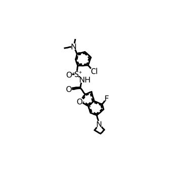 CN(C)c1ccc(Cl)c([S+]([O-])NC(=O)c2cc3c(F)cc(N4CCC4)cc3o2)c1